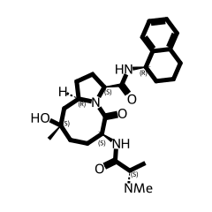 CN[C@@H](C)C(=O)N[C@H]1CC[C@](C)(O)C[C@H]2CC[C@@H](C(=O)N[C@@H]3CCCc4ccccc43)N2C1=O